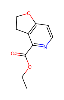 CCOC(=O)c1nccc2c1CCO2